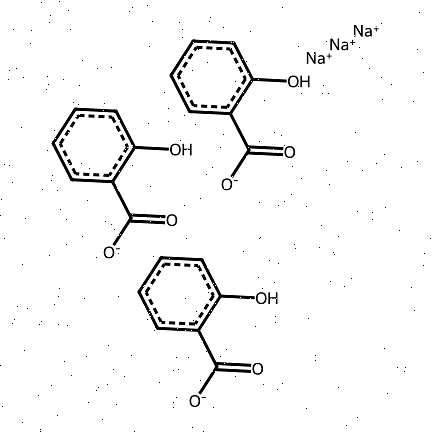 O=C([O-])c1ccccc1O.O=C([O-])c1ccccc1O.O=C([O-])c1ccccc1O.[Na+].[Na+].[Na+]